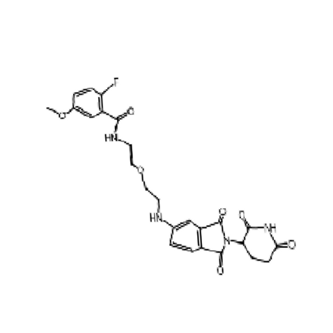 COc1ccc(F)c(C(=O)NCCOCCNc2ccc3c(c2)C(=O)N(C2CCC(=O)NC2=O)C3=O)c1